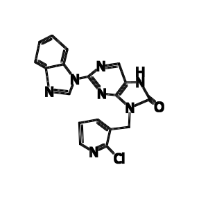 O=c1[nH]c2cnc(-n3cnc4ccccc43)nc2n1Cc1cccnc1Cl